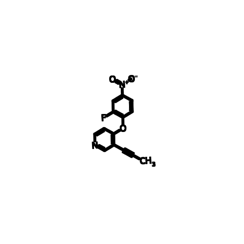 CC#Cc1cnccc1Oc1ccc([N+](=O)[O-])cc1F